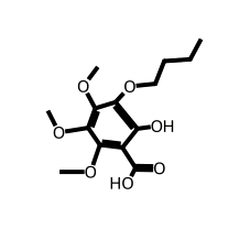 CCCCOc1c(O)c(C(=O)O)c(OC)c(OC)c1OC